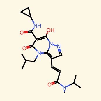 CC(C)Cn1c(=O)c(C(=O)NC2CC2)c(O)n2ncc(/C=C/C(=O)N(C)C(C)C)c12